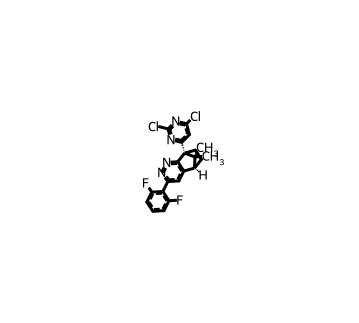 CC1(C)[C@H]2CC[C@]1(c1cc(Cl)nc(Cl)n1)c1nnc(-c3c(F)cccc3F)cc12